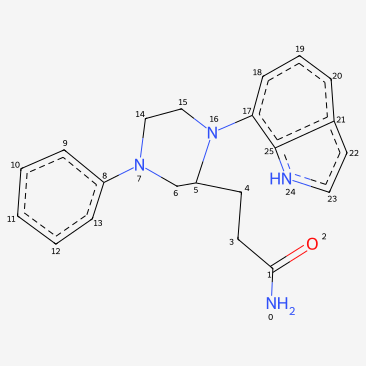 NC(=O)CCC1CN(c2ccccc2)CCN1c1cccc2cc[nH]c12